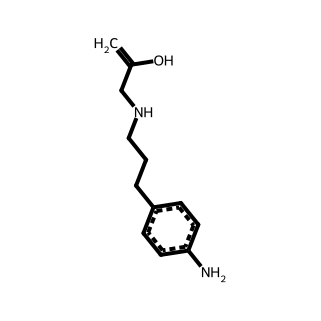 C=C(O)CNCCCc1ccc(N)cc1